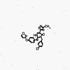 Cc1noc(-c2c[nH]/c(=N\c3ccc(Oc4ccon4)cc3)n(Cc3ccc(Cl)cc3)c2=O)n1